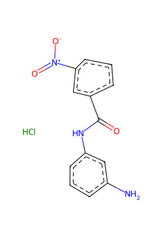 Cl.Nc1cccc(NC(=O)c2cccc([N+](=O)[O-])c2)c1